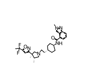 C[C@H]1CN(CC[C@H]2CC[C@H](NC(=O)c3cccc4nn(C)cc34)CC2)C[C@]1(C)c1cc(C(C)(F)F)on1